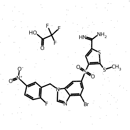 CSc1sc(C(=N)N)cc1S(=O)(=O)c1cc(Br)c2ncn(Cc3cc([N+](=O)[O-])ccc3F)c2c1.O=C(O)C(F)(F)F